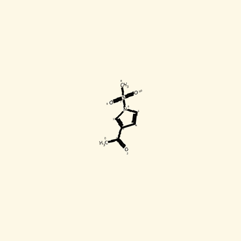 CC(=O)c1ccn(S(C)(=O)=O)c1